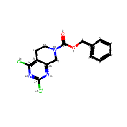 O=C(OCc1ccccc1)N1CCc2c(Cl)nc(Cl)nc2C1